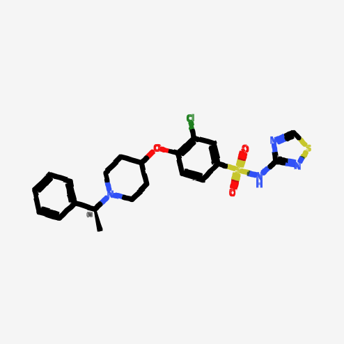 C[C@@H](c1ccccc1)N1CCC(Oc2ccc(S(=O)(=O)Nc3ncsn3)cc2Cl)CC1